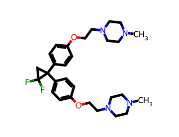 CN1CCN(CCOc2ccc(C3(c4ccc(OCCN5CCN(C)CC5)cc4)CC3(F)F)cc2)CC1